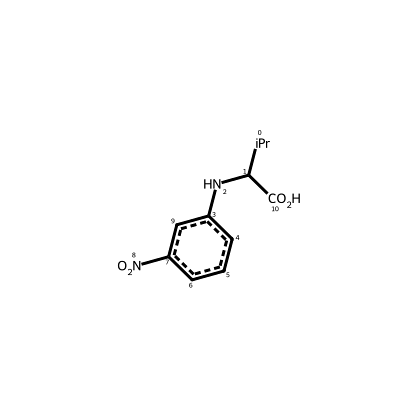 CC(C)C(Nc1cccc([N+](=O)[O-])c1)C(=O)O